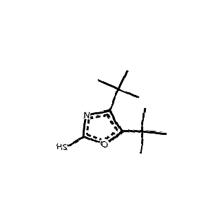 CC(C)(C)c1nc(S)oc1C(C)(C)C